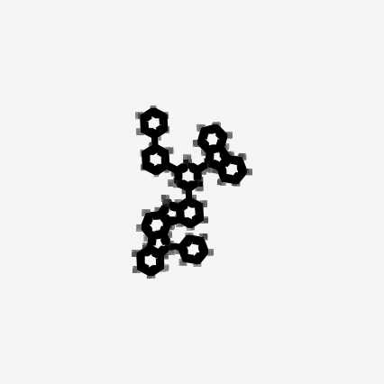 c1ccc(-c2cccc(-c3nc(-c4cccc5c4oc4ccc6c7ccccc7n(-c7ccccc7)c6c45)nc(-n4c5ccccc5c5ccccc54)n3)c2)cc1